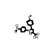 CSc1ccc(-c2cc(C(=O)O)nn2-c2ccc([N+](=O)[O-])cc2)cc1